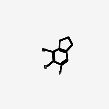 Fc1cc2c(c(Br)c1Cl)CCC2